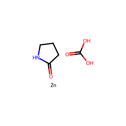 O=C(O)O.O=C1CCCN1.[Zn]